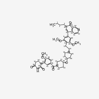 CCCCn1cc(-c2cc(OC)c(CCN3CCC(OC4CCN(C(=O)c5ccc(OC)c(N6CCC(=O)NC6=O)c5)CC4)CC3)c(OC)c2)c2ccncc2c1=O